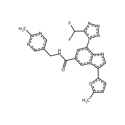 Cc1ncc(CNC(=O)c2cc(-n3nnnc3C(F)F)c3ncc(-c4ccc(C)o4)n3c2)cn1